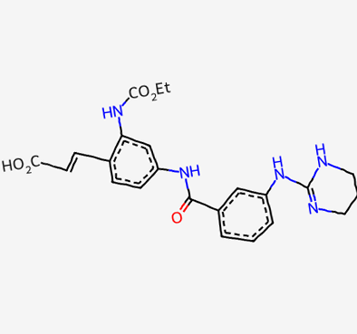 CCOC(=O)Nc1cc(NC(=O)c2cccc(NC3=NCCCN3)c2)ccc1C=CC(=O)O